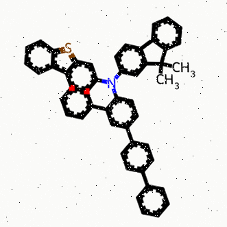 CC1(C)c2ccccc2-c2ccc(N(c3ccc4c(c3)sc3ccccc34)c3ccc(-c4ccc(-c5ccccc5)cc4)cc3-c3ccccc3)cc21